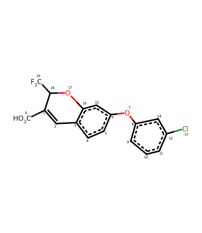 O=C(O)C1=Cc2ccc(Oc3cccc(Cl)c3)cc2OC1C(F)(F)F